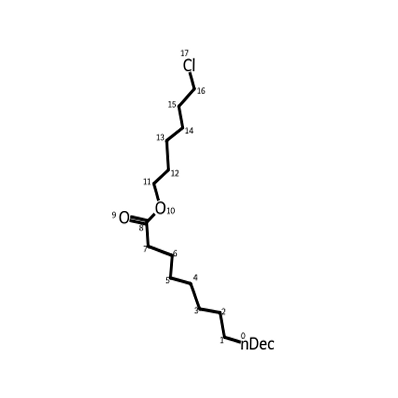 CCCCCCCCCCCCCCCCCC(=O)OCCCCCCCl